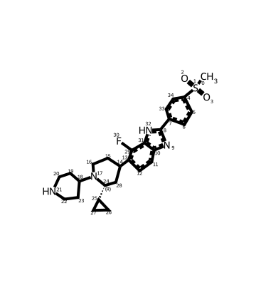 CS(=O)(=O)c1ccc(-c2nc3ccc(C4CCN(C5CCNCC5)[C@@H](C5CC5)C4)c(F)c3[nH]2)cc1